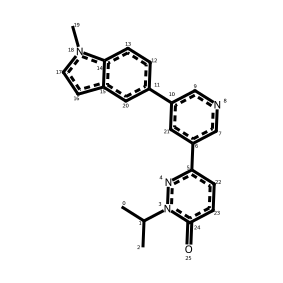 CC(C)n1nc(-c2cncc(-c3ccc4c(ccn4C)c3)c2)ccc1=O